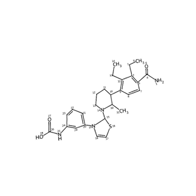 CCc1c(C(N)=O)ccc(C2CCCN(C3SC=CN3c3cccc(NC(=O)O)c3)C2C)c1CC